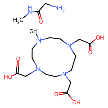 CNC(=O)CN.O=C(O)CN1CC[N]([Gd])CCN(CC(=O)O)CCN(CC(=O)O)CC1